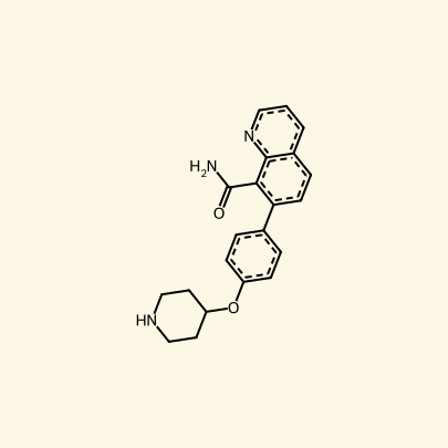 NC(=O)c1c(-c2ccc(OC3CCNCC3)cc2)ccc2cccnc12